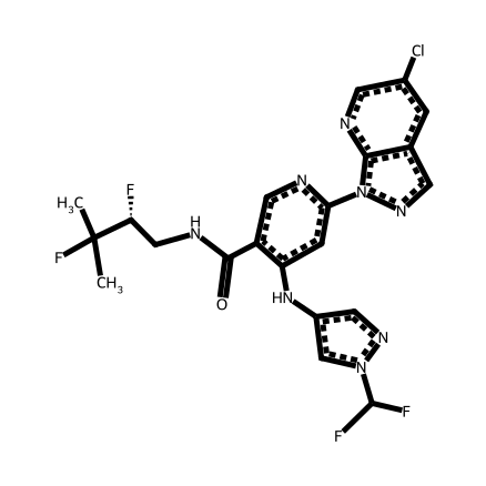 CC(C)(F)[C@H](F)CNC(=O)c1cnc(-n2ncc3cc(Cl)cnc32)cc1Nc1cnn(C(F)F)c1